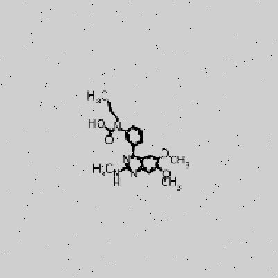 CCCCN(C(=O)O)c1cccc(-c2nc(NC)nc3cc(OC)c(OC)cc23)c1